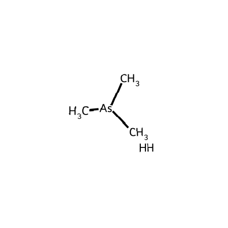 C[As](C)C.[HH]